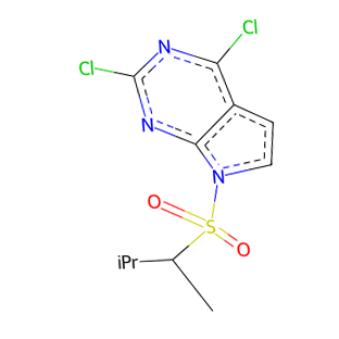 CC(C)C(C)S(=O)(=O)n1ccc2c(Cl)nc(Cl)nc21